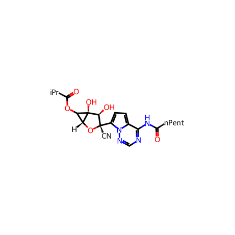 CCCCCC(=O)Nc1ncnn2c([C@]3(C#N)O[C@@H]4C(OC(=O)C(C)C)[C@]4(O)[C@H]3O)ccc12